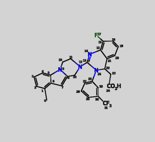 Cc1cccc2c1cc1n2CCN(C2=Nc3c(F)cccc3C(CC(=O)O)N2c2cccc(C(F)(F)F)c2)C1